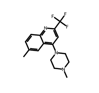 Cc1ccc2nc(C(F)(F)F)cc(N3CCN(C)CC3)c2c1